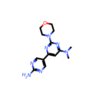 CN(C)c1cc(-c2cnc(N)nc2)nc(N2CCOCC2)n1